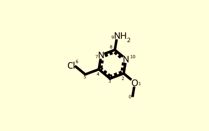 COc1cc(CCl)nc(N)n1